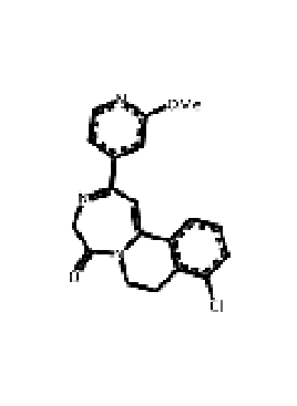 COc1cc(C2=NCC(=O)N3CCc4c(Cl)cccc4C3=C2)ccn1